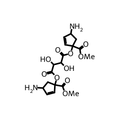 COC(=O)C1(OC(=O)C(O)C(O)C(=O)OC2(C(=O)OC)C=CC(N)C2)C=CC(N)C1